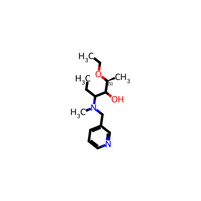 CCO[C@@H](C)C(O)C(CC)N(C)Cc1cccnc1